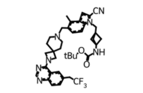 Cc1c(CN2CCC3(CC2)CN(c2ncnc4ccc(CC(F)(F)F)cc24)C3)ccc2c1cc(C#N)n2CC12CC(NC(=O)OC(C)(C)C)(C1)C2